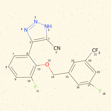 N#Cc1[nH]nnc1-c1cccc(F)c1OCc1cc(F)cc(C(F)(F)F)c1